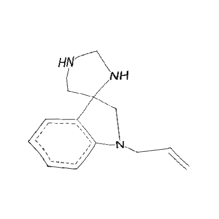 C=CCN1CC2(CNCN2)c2ccccc21